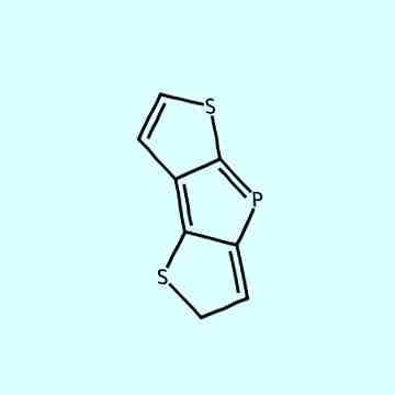 C1=C2P=c3sccc3=C2SC1